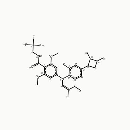 CC/C(C)=C\N(c1cc(OC)c(C(=O)NCC(F)(F)F)c(OC)c1)c1ccc(C2CC(C)C2C)cc1C